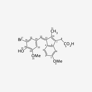 COc1ccc2c(c1)C(CC(=O)O)=C(C)/C2=C/c1cc(Br)c(O)c(OC)c1